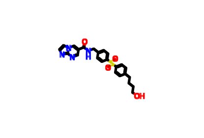 O=C(NCc1ccc(S(=O)(=O)c2ccc(CCCCO)cc2)cc1)c1cnc2nccn2c1